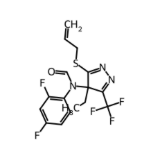 C=CCSC1=NN=C(C(F)(F)F)C1(CC)N(C=O)c1ccc(F)cc1F